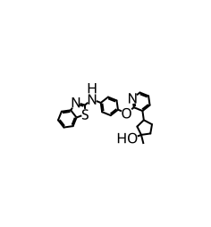 CC1(O)CCC(c2cccnc2Oc2ccc(Nc3nc4ccccc4s3)cc2)C1